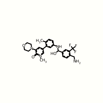 Cc1ccc(NC(O)c2ccc(CN)c(C(F)(F)F)c2)cc1-c1cc(N2CCOCC2)c(=O)n(C)c1